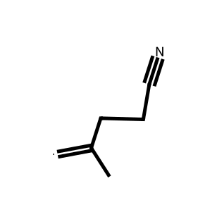 [CH]=C(C)CCC#N